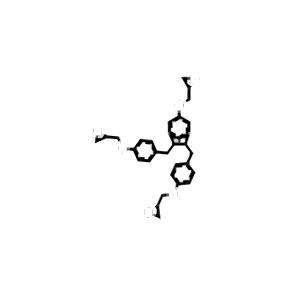 c1cc(OCC2CO2)ccc1CC1c2cc(OCC3CO3)cc(c2)C1Cc1ccc(OCC2CO2)cc1